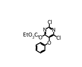 CCOC(=O)Oc1nc(Cl)nc(Cl)c1Oc1ccccc1